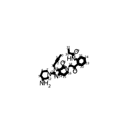 CC#CCn1c(N2CCCC(N)C2)nc2ccn(CC(=O)c3ccccc3NC(=O)CC)c(=O)c21